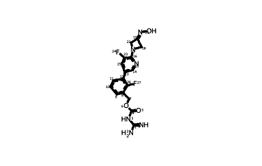 N=C(N)NC(=O)OCc1cccc(-c2cnc(N3CC(=NO)C3)c(F)c2)c1F